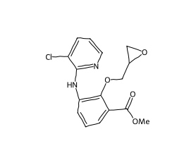 COC(=O)c1cccc(Nc2ncccc2Cl)c1OCC1CO1